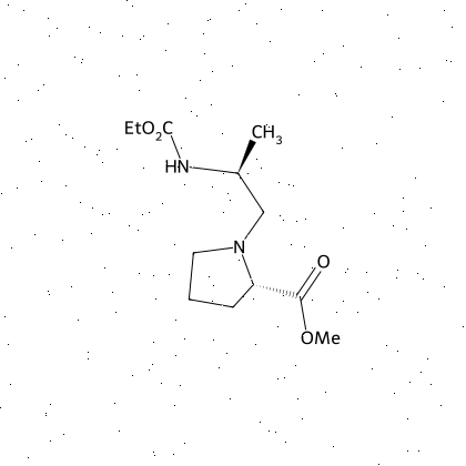 CCOC(=O)N[C@@H](C)CN1CCC[C@H]1C(=O)OC